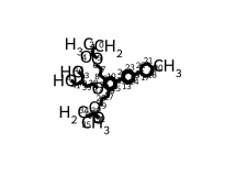 C=C(C)C(=O)OCCCc1cc(-c2ccc(C3CCC(C)CC3)cc2)cc(CCCOC(=O)C(=C)C)c1OCCC(CO)CO